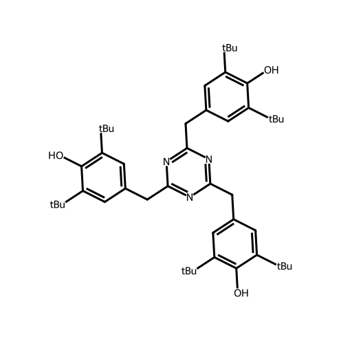 CC(C)(C)c1cc(Cc2nc(Cc3cc(C(C)(C)C)c(O)c(C(C)(C)C)c3)nc(Cc3cc(C(C)(C)C)c(O)c(C(C)(C)C)c3)n2)cc(C(C)(C)C)c1O